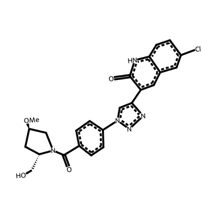 CO[C@@H]1C[C@@H](CO)N(C(=O)c2ccc(-n3cc(-c4cc5cc(Cl)ccc5[nH]c4=O)nn3)cc2)C1